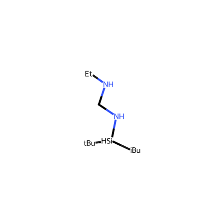 CCNCN[SiH](C(C)CC)C(C)(C)C